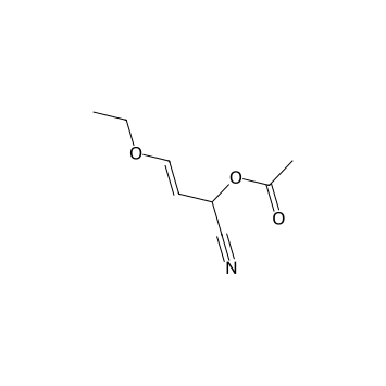 CCOC=CC(C#N)OC(C)=O